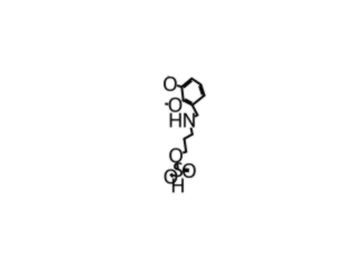 COc1cccc(CNCCCO[SH](=O)=O)c1OC